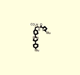 CC(C)(C)c1ccc(-c2cnc(-c3ccc(C[C@@H](NC(=O)c4ccc(C(C)(C)C)s4)C(=O)O)cc3)nc2)cc1